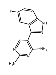 Nc1ncc(-c2n[nH]c3ccc(F)cc23)c(N)n1